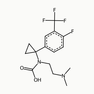 CN(C)CCN(C(=O)O)C1(c2ccc(F)c(C(F)(F)F)c2)CC1